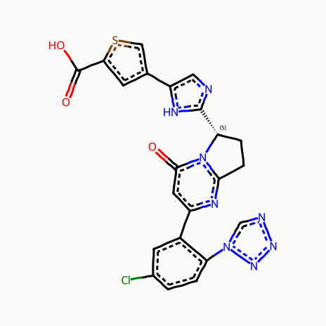 O=C(O)c1cc(-c2cnc([C@@H]3CCc4nc(-c5cc(Cl)ccc5-n5cnnn5)cc(=O)n43)[nH]2)cs1